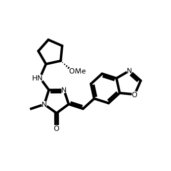 CO[C@H]1CCCC1NC1=N/C(=C\c2ccc3ncoc3c2)C(=O)N1C